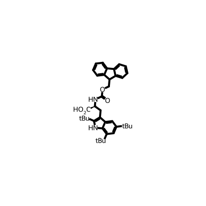 CC(C)(C)c1cc(C(C)(C)C)c2[nH]c(C(C)(C)C)c(C[C@H](NC(=O)OCC3c4ccccc4-c4ccccc43)C(=O)O)c2c1